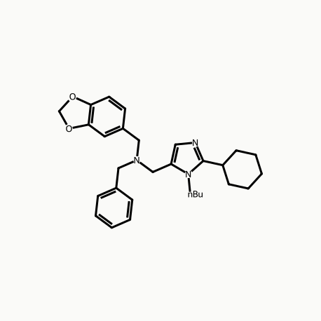 CCCCn1c(CN(Cc2ccccc2)Cc2ccc3c(c2)OCO3)cnc1C1CCCCC1